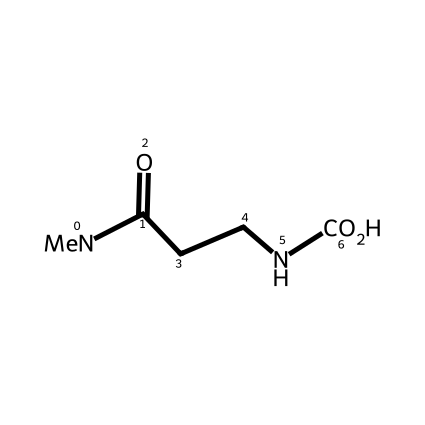 CNC(=O)CCNC(=O)O